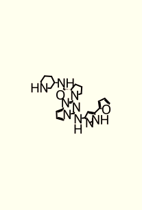 O=C(N[C@@H]1CCCNC1)[C@@H]1CCCN1c1nc(Nc2cc(-c3ccco3)[nH]n2)n2cccc2n1